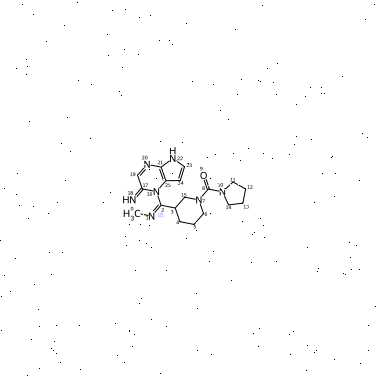 C/N=C(/C1CCCN(C(=O)N2CCCC2)C1)n1c(=N)cnc2[nH]ccc21